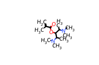 C=C(C)C(=O)OC(C(C)N(C)C)C(C)N(C)C